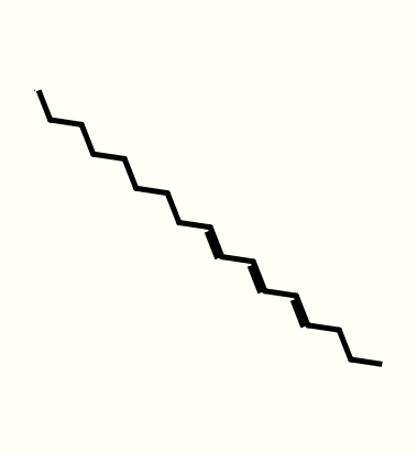 [CH2]CCCCCCC/C=C/C=C/C=C/CCC